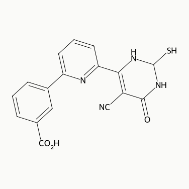 N#CC1=C(c2cccc(-c3cccc(C(=O)O)c3)n2)NC(S)NC1=O